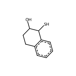 OC1CCc2ccccc2C1S